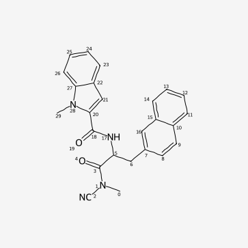 CN(C#N)C(=O)C(Cc1ccc2ccccc2c1)NC(=O)c1cc2ccccc2n1C